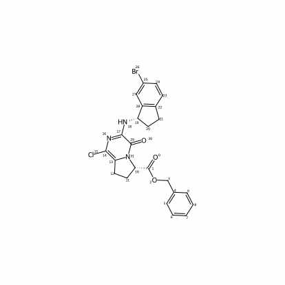 O=C(OCc1ccccc1)[C@@H]1CCc2c(Cl)nc(N[C@H]3CCc4ccc(Br)cc43)c(=O)n21